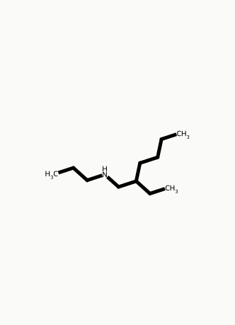 CC[CH]NCC(CC)CCCC